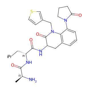 CC(C)C[C@@H](NC(=O)[C@H](C)N)C(=O)NC1Cc2cccc(N3CCCC3=O)c2N(Cc2ccsc2)C1=O